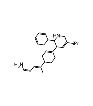 C/C(=C\C=C/N)C1CC=C(C2C=C(C(C)C)CNC2C2C=CC=CC2)CC1